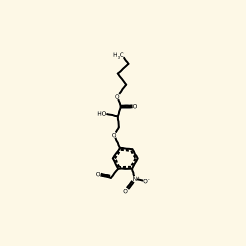 CCCCOC(=O)C(O)COc1ccc([N+](=O)[O-])c(C=O)c1